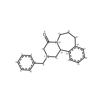 O=C1CN(Cc2ccccc2)CC2c3ccccc3CCCN12